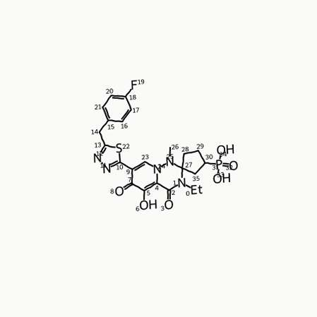 CCN1C(=O)c2c(O)c(=O)c(-c3nnc(Cc4ccc(F)cc4)s3)cn2N(C)C12CCC(P(=O)(O)O)C2